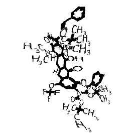 CN(C)[C@@H]1c2onc(OCc3ccccc3)c2C(=O)C2(O[Si](C)(C)C(C)(C)C)C(O)=C3C(=O)c4c(c(OC(F)(F)F)cc(N(C(=O)OC(C)(C)C)C(=O)OC(C)(C)C)c4OCc4ccccc4)C[C@H]3C[C@@H]12